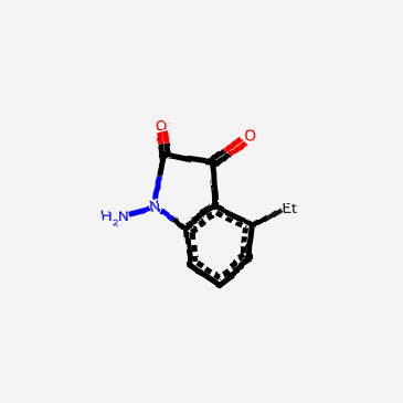 CCc1cccc2c1C(=O)C(=O)N2N